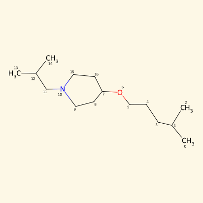 CC(C)CCCOC1CCN(CC(C)C)CC1